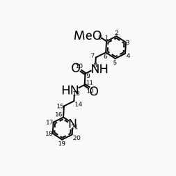 COc1ccccc1CNC(=O)C(=O)NCCc1ccccn1